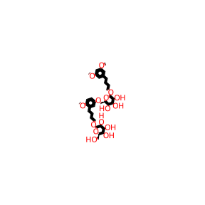 COc1cc(CCCCO[C@@H]2O[C@H](COc3ccc(OC)c(CCCCO[C@@H]4O[C@H](CO)[C@@H](O)[C@H](O)[C@H]4O)c3)[C@@H](O)[C@H](O)[C@H]2O)cc(OC)c1